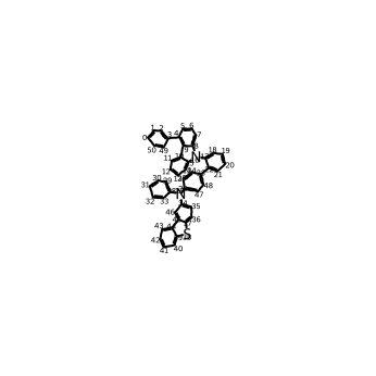 c1ccc(-c2cccc3c2c2ccccc2n3-c2ccccc2-c2ccc(N(c3ccccc3)c3ccc4sc5ccccc5c4c3)cc2)cc1